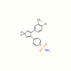 NS(=O)(=O)c1ccc(C2=CC3(C=C2c2ccc(Br)c(C(F)(F)F)c2)CC3)cc1